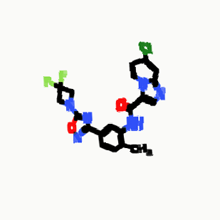 Cc1ccc(-c2noc(N3CC(F)(F)C3)n2)cc1NC(=O)c1cnc2cc(Cl)ccn12